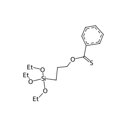 CCO[Si](CCCOC(=S)c1ccccc1)(OCC)OCC